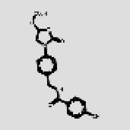 N#Cc1ccc(C(=O)NCc2ccc(N3CC(OC(=O)O)OC3=O)cc2)cc1